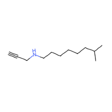 C#CCNCCCCCCC(C)C